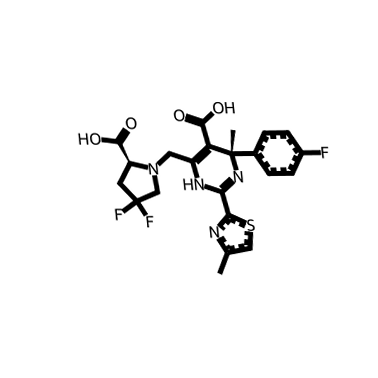 Cc1csc(C2=N[C@@](C)(c3ccc(F)cc3)C(C(=O)O)=C(CN3CC(F)(F)C[C@H]3C(=O)O)N2)n1